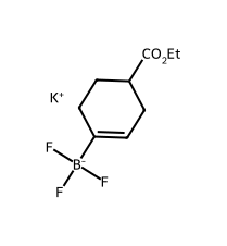 CCOC(=O)C1CC=C([B-](F)(F)F)CC1.[K+]